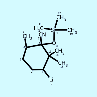 [Li][CH]1CCC(C)C(C#N)(O[Si](C)(C)C)C1(C)C